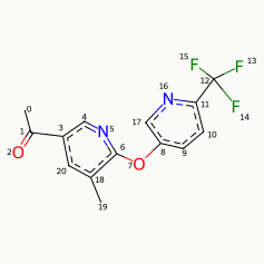 CC(=O)c1cnc(Oc2ccc(C(F)(F)F)nc2)c(C)c1